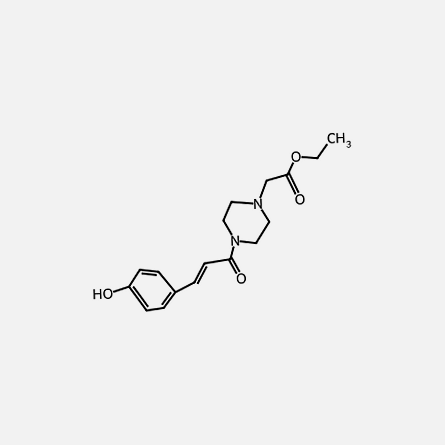 CCOC(=O)CN1CCN(C(=O)/C=C/c2ccc(O)cc2)CC1